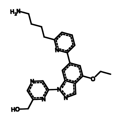 CCOc1cc(-c2cccc(CCCCN)n2)cc2c1cnn2-c1cncc(CO)n1